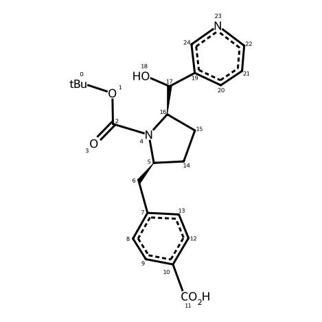 CC(C)(C)OC(=O)N1[C@H](Cc2ccc(C(=O)O)cc2)CC[C@@H]1C(O)c1cccnc1